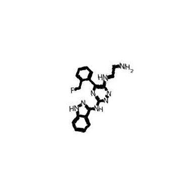 NCCNc1nnc(Nc2n[nH]c3ccccc23)nc1-c1ccccc1CF